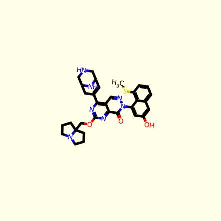 CSc1cccc2cc(O)cc(-n3ncc4c(C5=CC6CNCC(C5)N6)nc(OCC56CCCN5CCC6)nc4c3=O)c12